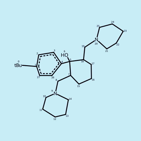 CC(C)(C)c1ccc(C2(O)C(CN3CCCCC3)CCCC2CN2CCCCC2)cc1